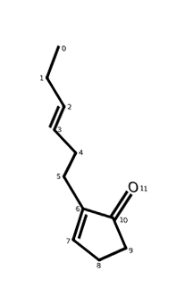 CCC=CCCC1=CCCC1=O